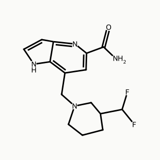 NC(=O)c1cc(CN2CCCC(C(F)F)C2)c2[nH]ccc2n1